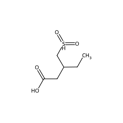 CCC(CC(=O)O)C[SH](=O)=O